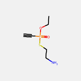 C#CP(=O)(OCC)SCCN